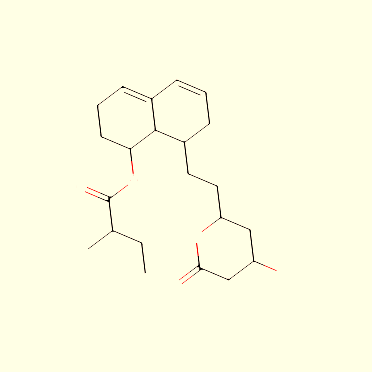 CCC(C)C(=O)OC1CCC=C2C=C[C@H](C)C(CCC3CC(O)CC(=O)O3)C21